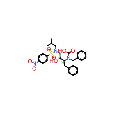 CC(C)CN(C[C@@H](O)[C@H](Cc1ccccc1)N(Cc1ccccc1)C(=O)O)S(=O)(=O)c1ccc([N+](=O)[O-])cc1